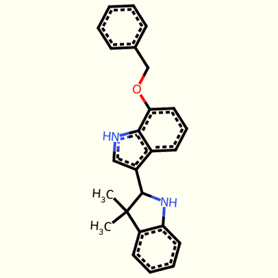 CC1(C)c2ccccc2NC1c1c[nH]c2c(OCc3ccccc3)cccc12